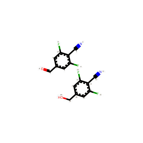 N#Cc1c(F)cc(C=O)cc1F.N#Cc1c(F)cc(CO)cc1F